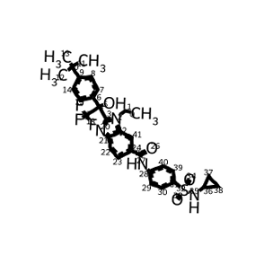 CCn1c(C(O)(c2ccc(C(C)(C)C)cc2)C(F)(F)F)nc2ccc(C(=O)Nc3ccc(S(=O)(=O)NC4CC4)cc3)cc21